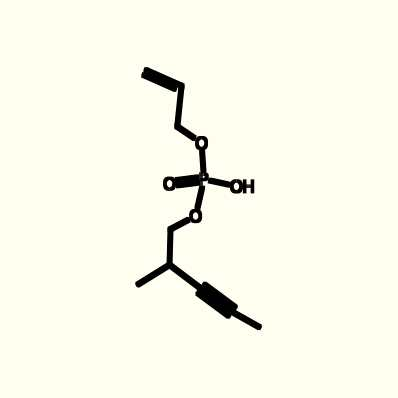 C=CCOP(=O)(O)OCC(C)C#CC